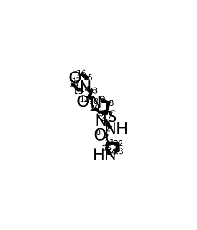 O=C(Nc1nc2c(s1)CCN(C(=O)CN1CCOCC1)C2)[C@H]1CCNC1